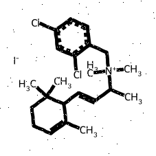 CC1=CCCC(C)(C)C1C=CC(C)[N+](C)(C)Cc1ccc(Cl)cc1Cl.[I-]